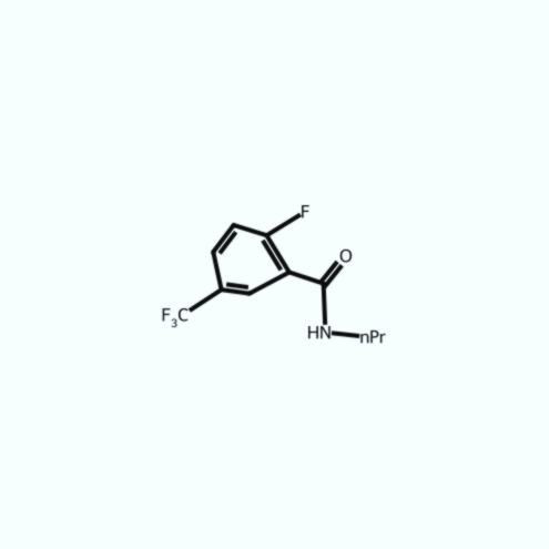 CCCNC(=O)c1cc(C(F)(F)F)ccc1F